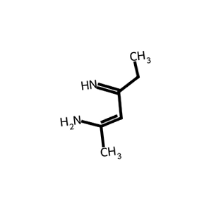 CCC(=N)/C=C(/C)N